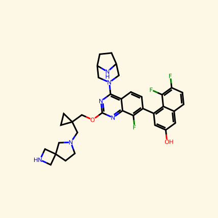 Oc1cc(-c2ccc3c(N4CC5CCC(C4)N5)nc(OCC4(CN5CCC6(CNC6)C5)CC4)nc3c2F)c2c(F)c(F)ccc2c1